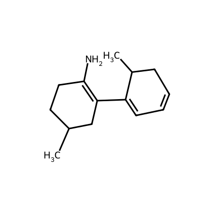 CC1CCC(N)=C(C2=CC=CCC2C)C1